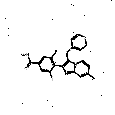 CNC(=O)c1cc(F)c(-c2nc3cc(C)ccn3c2CC2=CCSC=C2)c(F)c1